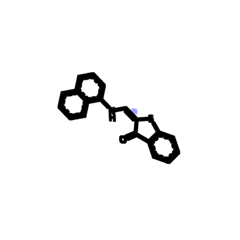 O=C1/C(=C\Nc2cccc3ccccc23)Sc2ccccc21